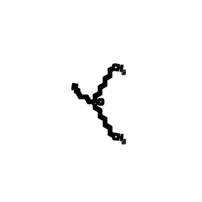 CCCCCCCCP(=O)(CCCC#N)CCCCCCCC